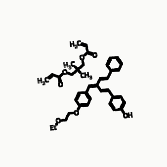 C=CC(=O)OCC(C)(C)COC(=O)C=C.CCOCCOc1ccc(C=C(C=Cc2ccccc2)C=Cc2ccc(O)cc2)cc1